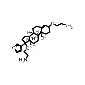 C[C@]12CCC(OCCN)C=C1CC[C@@H]1[C@H]2CC[C@@]2(C)[C@H]1CCC2(OCCN)c1ccoc1